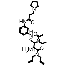 C=CCN(CC=C)C(=O)[C@@H](N)C(SNc1cccc(NC(=O)CCN2CCCC2)c1)N(CC)C(C)=O